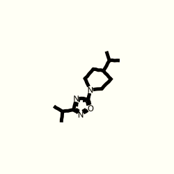 CC(C)c1noc(N2CCC(C(C)C)CC2)n1